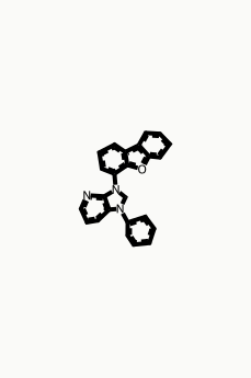 c1ccc(N2CN(c3cccc4c3oc3ccccc34)c3ncccc32)cc1